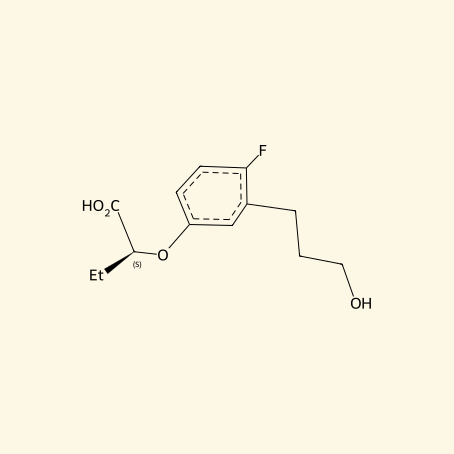 CC[C@H](Oc1ccc(F)c(CCCO)c1)C(=O)O